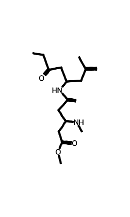 C=C(C)CC(CC(=O)CC)NC(=C)CC(CC(=O)OC)NC